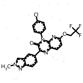 Cn1cc2cc(-c3nc4ccc(OCC(F)(F)F)nc4n(-c4ccc(Cl)cc4)c3=O)ccc2n1